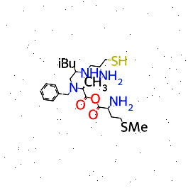 CCC(C)C(CN(Cc1ccccc1)[C@@H](C)C(=O)OC(=O)[C@@H](N)CCSC)NC[C@@H](N)CS